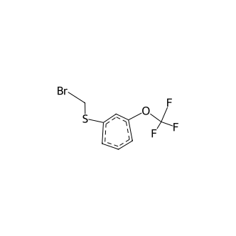 FC(F)(F)Oc1cccc(SCBr)c1